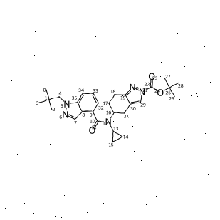 CC(C)(C)Cn1ncc2c(C(=O)N(C3CC3)C3CCc4nn(C(=O)OC(C)(C)C)cc4C3)cccc21